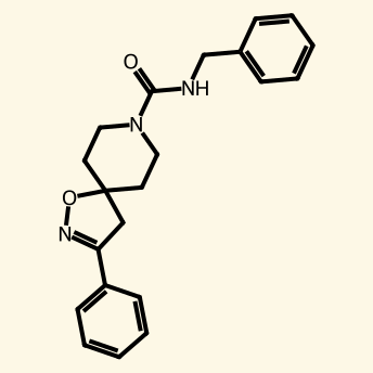 O=C(NCc1ccccc1)N1CCC2(CC1)CC(c1ccccc1)=NO2